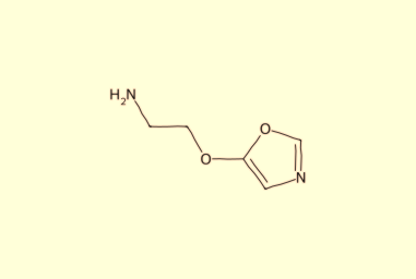 NCCOc1cnco1